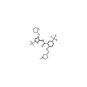 CN1CC[C@H](COc2ccc(C(F)(F)F)cc2C(=O)N=c2sc(C(C)(C)C)cn2C[C@H]2CCCO2)C1